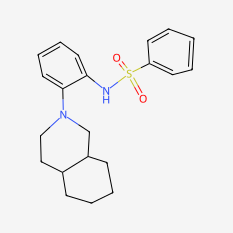 O=S(=O)(Nc1ccccc1N1CCC2CCCCC2C1)c1ccccc1